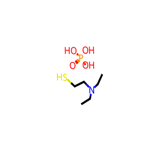 CCN(CC)CCS.O=P(O)(O)O